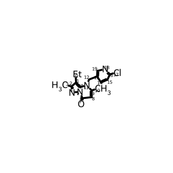 CCc1c(C)nn2c(=O)cc(C)n(Cc3ccc(Cl)nc3)c12